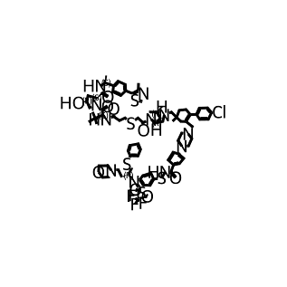 Cc1ncsc1-c1ccc([C@H](C)NC(=O)[C@@H]2C[C@@H](O)CN2C(=O)[C@@H](NC(=O)CCSCC(=O)N2C[C@H]3C[C@@H]2CN3CC2(C)CCC(c3ccc(Cl)cc3)=C(CN3CCN(c4ccc(C(=O)NSc5ccc(N[C@H](CCN6CCOCC6)CSc6ccccc6)c(S(=O)(=O)C(F)(F)F)c5)cc4)CC3)C2)C(C)(C)C)cc1